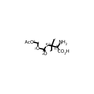 CC(=O)OCOC(=O)SC(C)(C)[C@@H](N)C(=O)O